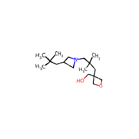 CC(C)(C)CC1CN(CC(C)(C)CC2(CO)COC2)C1